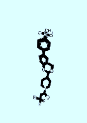 CS(=O)(=O)c1ccc(-c2ccc3c(c2)COC(C2CCN(C(=O)CC(F)(F)F)CC2)O3)cc1